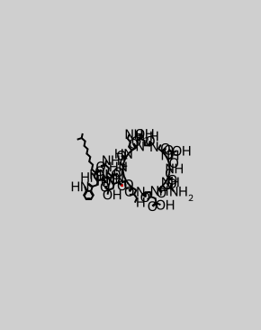 CCC(C)C1NC(=O)C(C(C)CC(=O)O)NC(=O)C(CC(N)=O)NC(=O)CNC(=O)C(CC(=O)O)NC(=O)C(C)NC(=O)C(CC(=O)O)NC(=O)C(CCCN)NC(=O)CNC(=O)C(NC(=O)C(CC(=O)O)NC(=O)C(CC(N)=O)NC(=O)C(Cc2c[nH]c3ccccc23)NC(=O)CCCCCCCCC(C)C)C(C)OC1=O